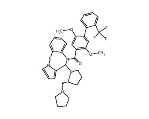 COc1cc(-c2ccccc2C(F)(F)F)c(OC)cc1C(=O)N1c2ccccc2Cn2[c]ccc2C1N1CCC[C@H]1CN1CCCC1